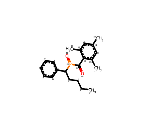 CCCCC(c1ccccc1)[P](=O)C(=O)c1c(C)cc(C)cc1C